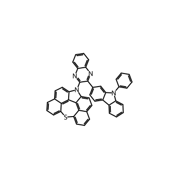 c1ccc(-n2c3ccccc3c3ccc(-c4nc5ccccc5nc4-n4c5ccc6cccc7sc8cccc9ccc4c(c98)c5c67)cc32)cc1